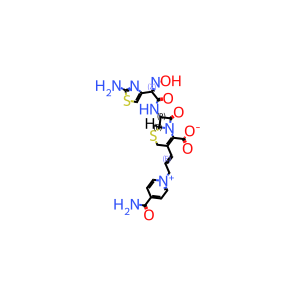 NC(=O)c1cc[n+](C/C=C/C2=C(C(=O)[O-])N3C(=O)[C@@H](NC(=O)/C(=N\O)c4csc(N)n4)[C@H]3SC2)cc1